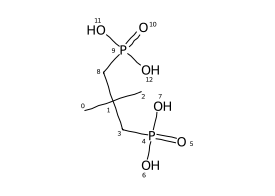 CC(C)(CP(=O)(O)O)CP(=O)(O)O